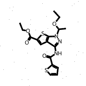 CCOC(=O)c1cc2c(NC(=O)c3cccs3)nn(C(C)OCC)c2s1